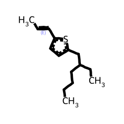 C/C=C/c1ccc(CC(CC)CCCC)s1